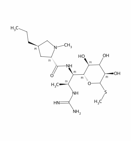 CCC[C@@H]1C[C@@H](C(=O)N[C@@H]([C@H]2OC(SC)[C@H](O)C(O)[C@@H]2O)[C@H](C)NC(=N)N)N(C)C1